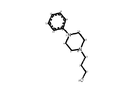 [O]CCCN1CCN(c2ccccc2)CC1